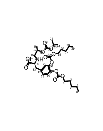 CCCCCOC(=O)Oc1ccc(C[C@H](NCC(C)OC(=O)OC(C)C)C(=O)O)cc1OC(=O)OCCCCC